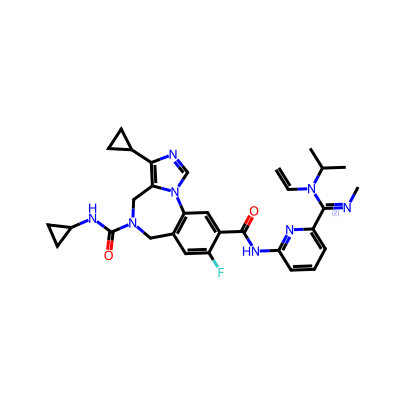 C=CN(/C(=N\C)c1cccc(NC(=O)c2cc3c(cc2F)CN(C(=O)NC2CC2)Cc2c(C4CC4)ncn2-3)n1)C(C)C